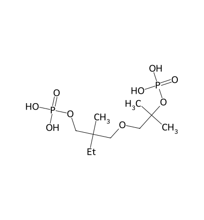 CCC(C)(COCC(C)(C)OP(=O)(O)O)COP(=O)(O)O